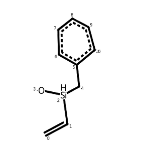 C=C[SiH]([O])Cc1ccccc1